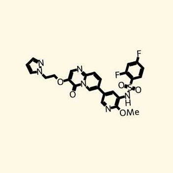 COc1ncc(-c2ccc3ncc(OCCn4cccn4)c(=O)n3c2)cc1NS(=O)(=O)c1ccc(F)cc1F